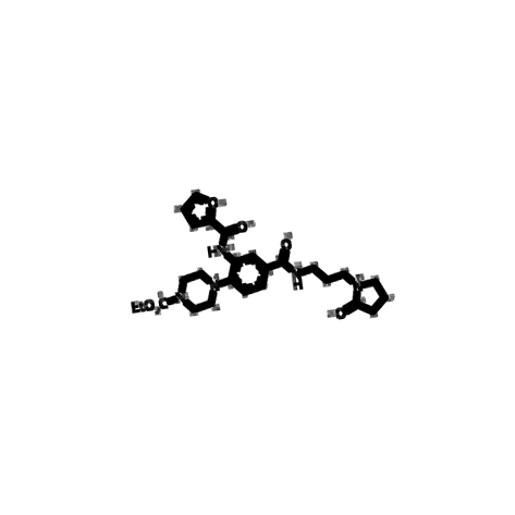 CCOC(=O)N1CCN(c2ccc(C(=O)NCCCN3CCCC3=O)cc2NC(=O)c2ccco2)CC1